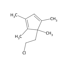 CC1=CC(C)=C(C)C1(C)CCCl